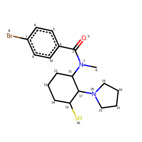 CN(C(=O)c1ccc(Br)cc1)C1CCCC(S)C1N1CCCC1